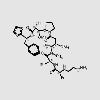 CC[C@H](C)[C@@H]([C@@H](CC(=O)N1CCC[C@H]1[C@H](OC)[C@@H](C)C(=O)N[C@@H](Cc1cc#ccc1)c1nccs1)OC)N(C)C(=O)[C@@H](NC(=O)[C@@H](NCCON)C(C)C)C(C)C